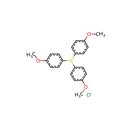 COc1ccc([S+](c2ccc(OC)cc2)c2ccc(OC)cc2)cc1.[Cl-]